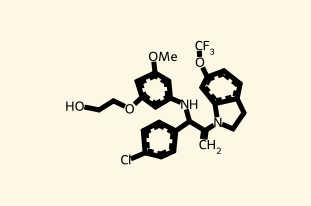 C=C(C(Nc1cc(OC)cc(OCCO)c1)c1ccc(Cl)cc1)N1CCc2ccc(OC(F)(F)F)cc21